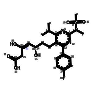 CC(C)c1nc(N(C)S(C)(=O)=O)nc(-c2ccc(F)cc2)c1CC[C@H](O)/C=C(/O)CC(=O)O